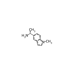 C[C@H](N)c1ccc2c(ccn2C)c1